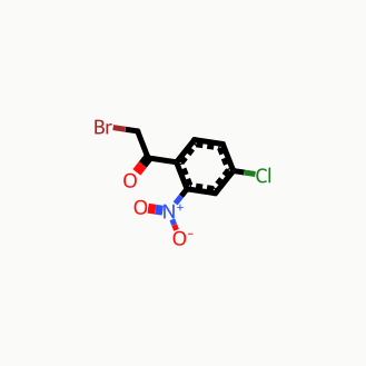 O=C(CBr)c1ccc(Cl)cc1[N+](=O)[O-]